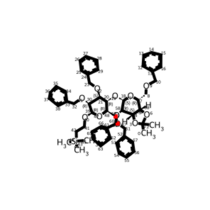 CC1(C)O[C@H]2[C@@H](O1)[C@@H](COCc1ccccc1)O[C@@H](O[C@H]1[C@H](OCc3ccccc3)[C@@H](OCc3ccccc3)[C@H](OCC[Si](C)(C)C)O[C@@H]1COCc1ccccc1)[C@@H]2OCc1ccccc1